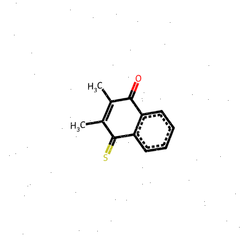 CC1=C(C)C(=S)c2ccccc2C1=O